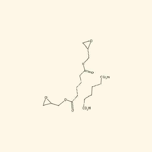 O=C(CCCCC(=O)OCC1CO1)OCC1CO1.O=C(O)CCCCC(=O)O